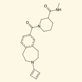 CNC(=O)C1CCCN(C(=O)c2ccc3c(c2)CCN(C2=CC=C2)CC3)C1